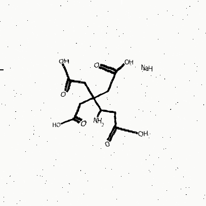 NC(CC(=O)O)C(CC(=O)O)(CC(=O)O)CC(=O)O.[NaH]